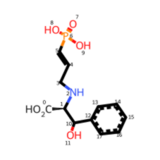 O=C(O)[C@@H](NCC=CP(=O)(O)O)C(O)c1ccccc1